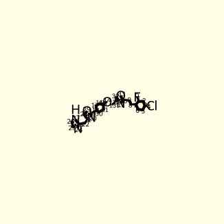 Fc1cc(Cl)ccc1C=Cc1nc(COc2ccc(-c3nc(Cc4ncc[nH]4)co3)cc2)co1